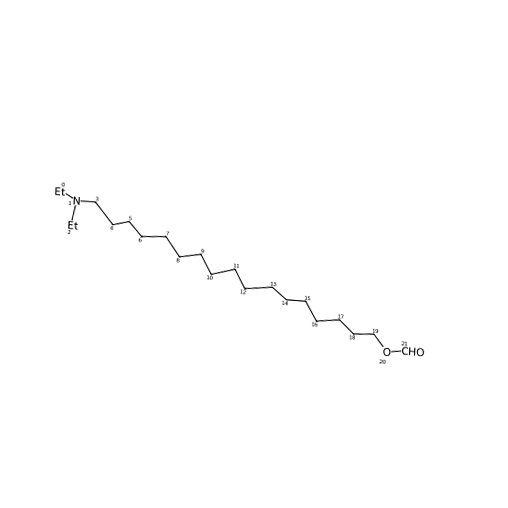 CCN(CC)CCCCCCCCCCCCCCCCCOC=O